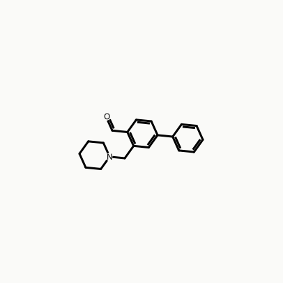 O=Cc1ccc(-c2ccccc2)cc1CN1CCCCC1